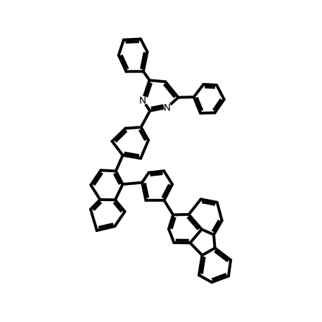 c1ccc(-c2cc(-c3ccccc3)nc(-c3ccc(-c4ccc5ccccc5c4-c4cccc(-c5ccc6c7c(cccc57)-c5ccccc5-6)c4)cc3)n2)cc1